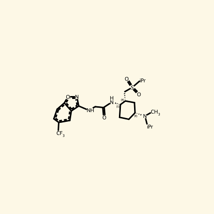 CC(C)N(C)[C@@H]1CC[C@H](NC(=O)CNc2noc3ccc(C(F)(F)F)cc23)[C@H](CS(=O)(=O)C(C)C)C1